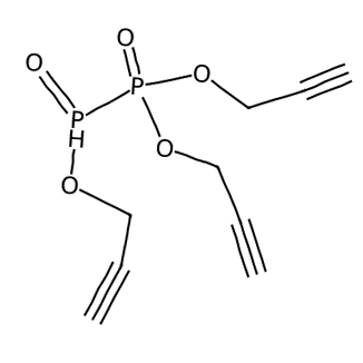 C#CCO[PH](=O)P(=O)(OCC#C)OCC#C